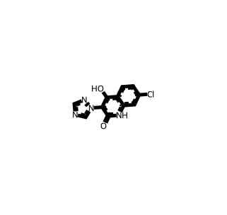 O=c1[nH]c2cc(Cl)ccc2c(O)c1-n1cncn1